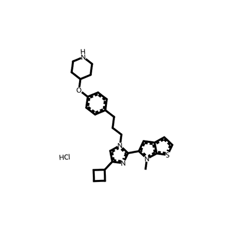 Cl.Cn1c(-c2nc(C3CCC3)cn2CCCc2ccc(OC3CCNCC3)cc2)cc2ccsc21